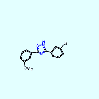 CCc1cccc(-c2nc(-c3cccc(OC)c3)n[nH]2)c1